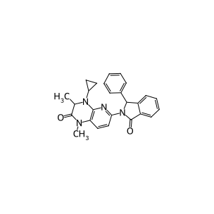 CC1C(=O)N(C)c2ccc(N3C(=O)c4ccccc4C3c3ccccc3)nc2N1C1CC1